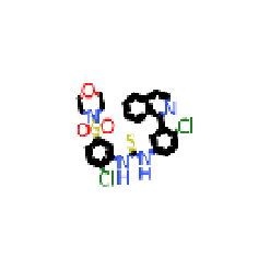 O=S(=O)(c1ccc(Cl)c(NC(=S)Nc2ccc(Cl)c(-c3nccc4ccccc34)c2)c1)N1CCOCC1